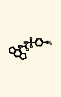 Nc1ccc(S(=O)(=O)NC(=O)Nc2c3c(cc4c2CCC4)CCC3)cc1